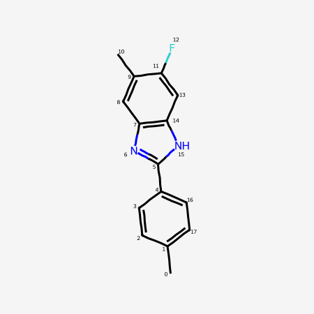 Cc1ccc(-c2nc3cc(C)c(F)cc3[nH]2)cc1